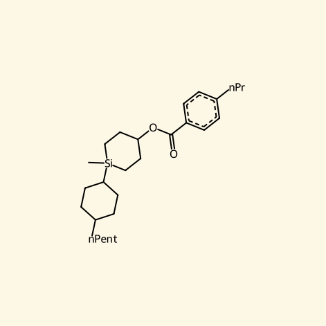 CCCCCC1CCC([Si]2(C)CCC(OC(=O)c3ccc(CCC)cc3)CC2)CC1